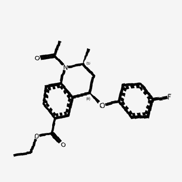 CCOC(=O)c1ccc2c(c1)[C@H](Oc1ccc(F)cc1)C[C@H](C)N2C(C)=O